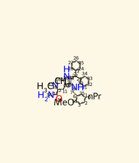 CCCc1ccc(OC)c(CN[C@H]2[C@@H](CC(C(N)=O)N(C)C)CN[C@H]2C(c2ccccc2)c2ccccc2)c1